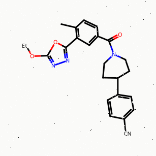 CCOc1nnc(-c2cc(C(=O)N3CCC(c4ccc(C#N)cc4)CC3)ccc2C)o1